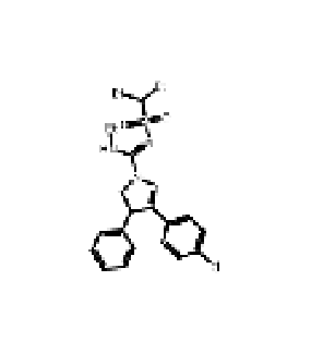 CCN/C(=N\S(=O)(=O)C(CC)CC)N1CC(c2ccccc2)C(c2ccc(Cl)cc2)=N1